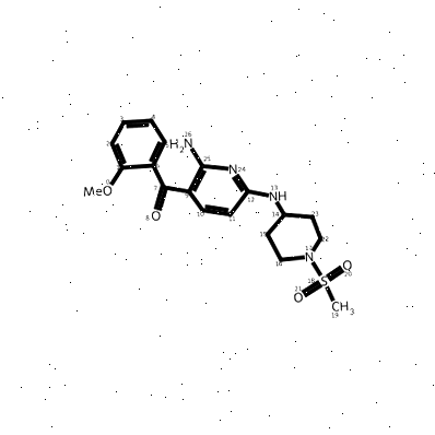 COc1ccccc1C(=O)c1ccc(NC2CCN(S(C)(=O)=O)CC2)nc1N